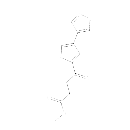 COC(=O)CCC(=O)c1cc(-c2ccsc2)cs1